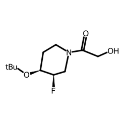 CC(C)(C)O[C@H]1CCN(C(=O)CO)C[C@H]1F